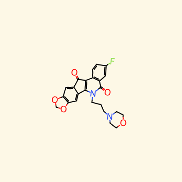 O=C1c2cc3c(cc2-c2c1c1ccc(F)cc1c(=O)n2CCCN1CCOCC1)OCO3